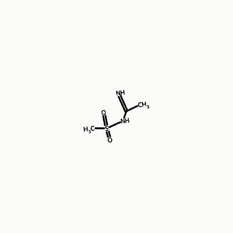 CC(=N)NS(C)(=O)=O